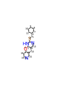 O=c1[nH]c(SCc2ccccc2)ncc1Cc1cccnc1